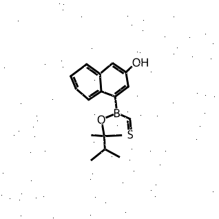 CC(C)C(C)(C)OB(C=S)c1cc(O)cc2ccccc12